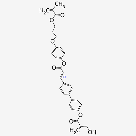 C=C(C)C(=O)OCCCOc1ccc(OC(=O)/C=C/c2ccc(-c3ccc(OC(=O)C(=C)CO)cc3)cc2)cc1